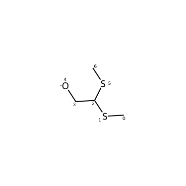 CSC(C[O])SC